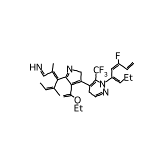 C=C/C(F)=C\C(=C/CC)N1N=CCC(C2=C(C(=C)OCC)C(C(/C(C)=C\C)=C(\C)C=N)=NC2)=C1C(F)(F)F